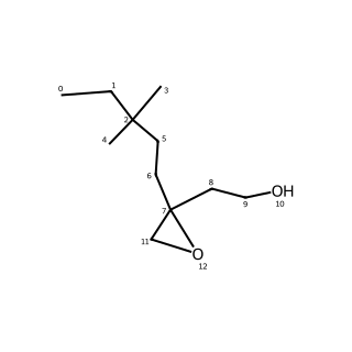 CCC(C)(C)CCC1(CCO)CO1